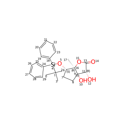 CC(C)(C)[Si](O[C@H]1CC[C@]2(O)[C@@H](O)C(=O)O[C@]12C)(c1ccccc1)c1ccccc1